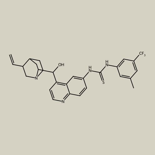 C=CC1CN2CCC1CC2C(O)c1ccnc2ccc(NC(=S)Nc3cc(C)cc(C(F)(F)F)c3)cc12